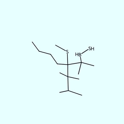 CCCCC(SC)(C(C)(C)BS)C(C)(C)C(C)C